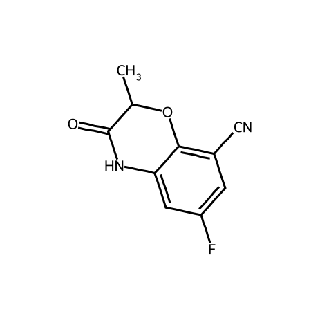 CC1Oc2c(C#N)cc(F)cc2NC1=O